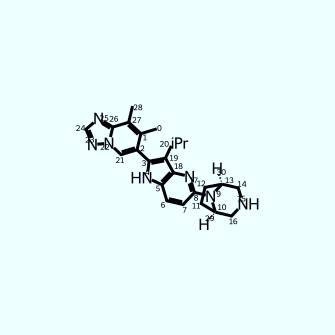 Cc1c(-c2[nH]c3ccc(N4[C@@H]5CC[C@H]4CNC5)nc3c2C(C)C)cn2ncnc2c1C